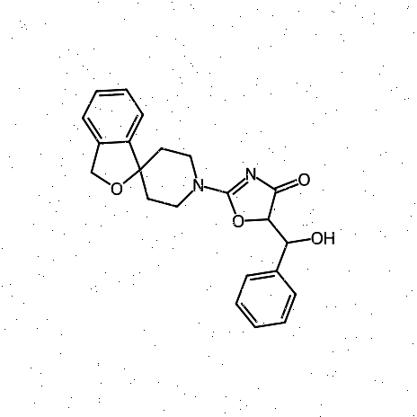 O=C1N=C(N2CCC3(CC2)OCc2ccccc23)OC1C(O)c1ccccc1